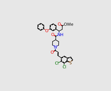 COC(=O)CC(NC(=O)C1CCN(C(=O)C=Cc2cc3ccsc3c(Cl)c2Cl)CC1)c1cccc(Oc2ccccc2)c1